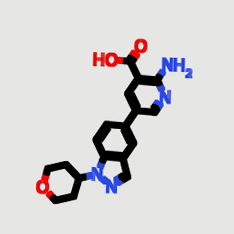 Nc1ncc(-c2ccc3c(cnn3C3CCOCC3)c2)cc1C(=O)O